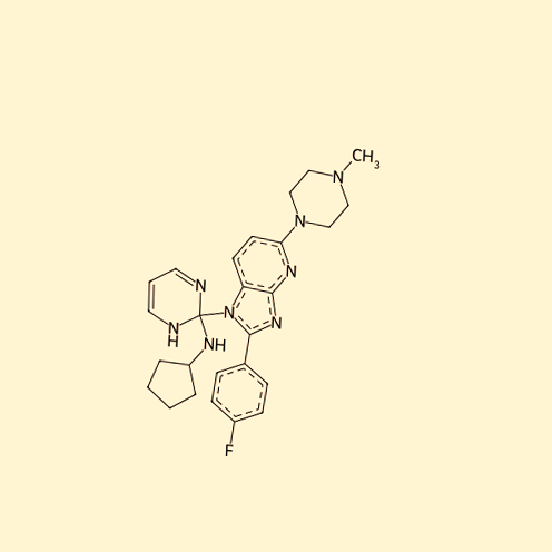 CN1CCN(c2ccc3c(n2)nc(-c2ccc(F)cc2)n3C2(NC3CCCC3)N=CC=CN2)CC1